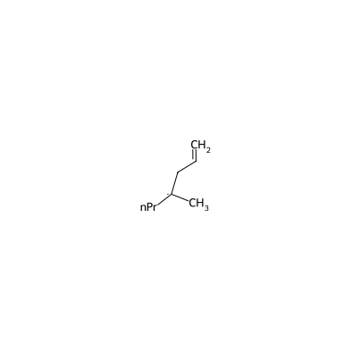 C=CC[C](C)CCC